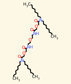 CCCCCCCCN(CCCCCCCC)C(=O)COCC(=O)NCCOCCNC(=O)COCC(=O)N(CCCCCCCC)CCCCCCCC